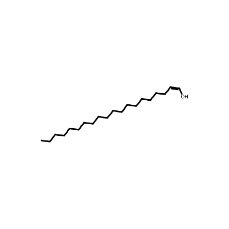 CCCCCCCCCCCCCCCCCC/C=[C]\O